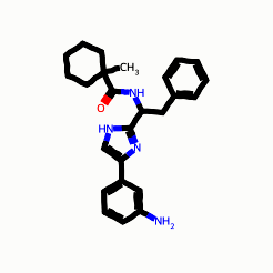 CC1(C(=O)NC(Cc2ccccc2)c2nc(-c3cccc(N)c3)c[nH]2)CCCCC1